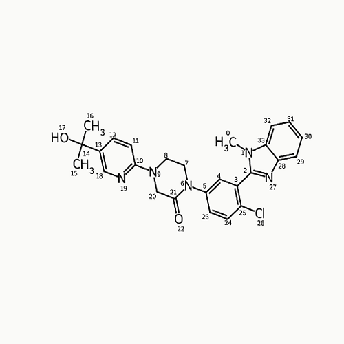 Cn1c(-c2cc(N3CCN(c4ccc(C(C)(C)O)cn4)CC3=O)ccc2Cl)nc2ccccc21